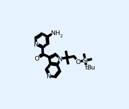 CC(C)(CO[Si](C)(C)C(C)(C)C)n1cc(C(=O)c2cc(N)ccn2)c2cnccc21